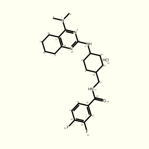 CN(C)c1nc(NC2CCC(CNC(=O)c3ccc(F)c(F)c3)CC2)nc2c1CCCC2.Cl